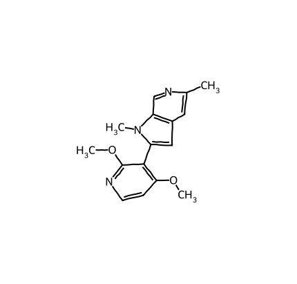 COc1ccnc(OC)c1-c1cc2cc(C)ncc2n1C